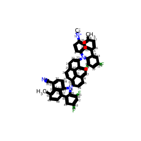 [C-]#[N+]c1ccc(N(c2c(F)cc(F)cc2-c2ccc(C)cc2)c2ccc3ccc4c(N(c5ccc(C#N)cc5)c5c(F)cc(F)cc5-c5ccc(C)cc5)ccc5ccc2c3c54)cc1